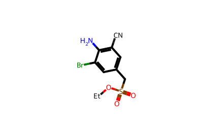 CCOS(=O)(=O)Cc1cc(Br)c(N)c(C#N)c1